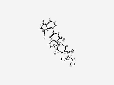 Cc1cc(-c2ccnc3[nH]cc(F)c23)cc(F)c1C1(O)[C@H](C)CN(C(=O)[C@H](N)CO)C[C@@H]1C